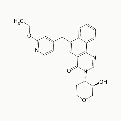 CCOc1cc(Cc2cc3c(=O)n([C@H]4CCOC[C@@H]4O)cnc3c3ccccc23)ccn1